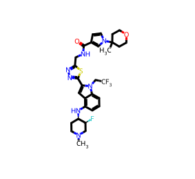 CN1CC[C@@H](Nc2cccc3c2cc(-c2nnc(CNC(=O)c4ccn(C5(C)CCOCC5)c4)s2)n3CC(F)(F)F)[C@@H](F)C1